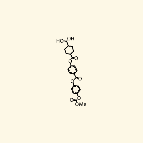 COC(=O)Oc1ccc(OC(=O)c2ccc(OC(=O)C3CCC(C(O)O)CC3)cc2)cc1